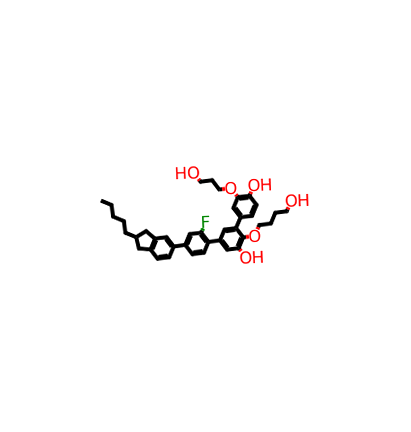 CCCCCC1Cc2ccc(-c3ccc(-c4cc(O)c(OCCCCO)c(-c5ccc(O)c(OCCCO)c5)c4)c(F)c3)cc2C1